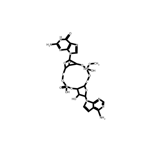 CO[PH]1(O)OCC2OC(n3ccc4c(N)ncnc43)C(O)C2OP(=O)(O)OCC2OC(n3cnc4c(=O)[nH]c(N)nc43)C(O1)C2O